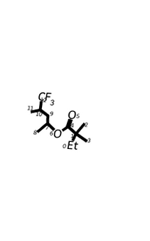 CCC(C)(C)C(=O)OC(C)CC(C)C(F)(F)F